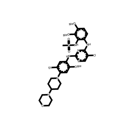 CCc1cc(Nc2ncc(Cl)c(Nc3ccc(OC)c(OC)c3NS(C)(=O)=O)n2)c(OC)cc1N1CCC(N2CCOCC2)CC1